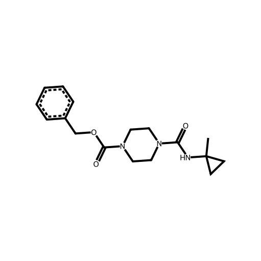 CC1(NC(=O)N2CCN(C(=O)OCc3ccccc3)CC2)CC1